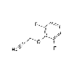 C#CCOc1c(F)c[c]cc1F